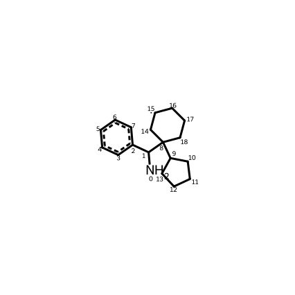 NC(c1ccccc1)C1(C2CCCC2)C[CH]CCC1